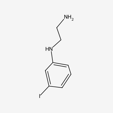 NCCNc1cccc(I)c1